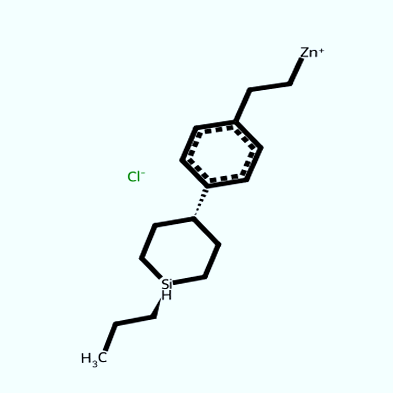 CCC[Si@H]1CC[C@H](c2ccc(C[CH2][Zn+])cc2)CC1.[Cl-]